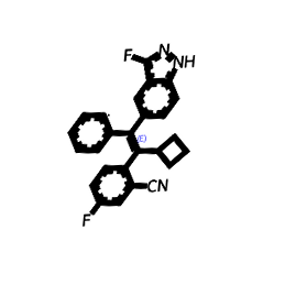 N#Cc1cc(F)ccc1/C(=C(\c1[c]cccc1)c1ccc2[nH]nc(F)c2c1)C1CCC1